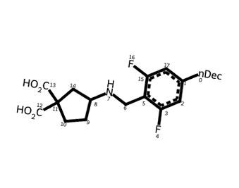 CCCCCCCCCCc1cc(F)c(CNC2CCC(C(=O)O)(C(=O)O)C2)c(F)c1